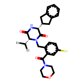 CCC(CC)[C@@H]1C(=O)N[C@H](C2Cc3ccccc3C2)C(=O)N1Cc1ccc(S)cc1C(=O)N1CCOCC1